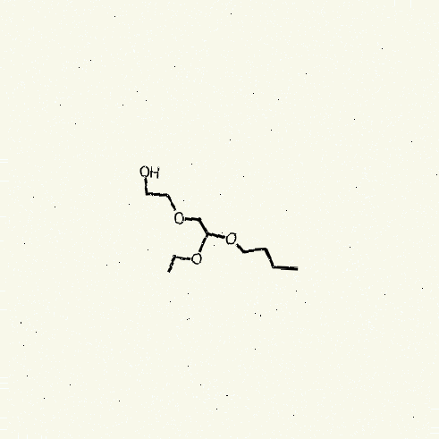 CCCCOC(COCCO)OCC